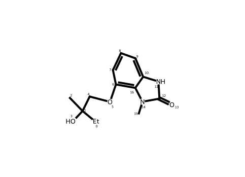 CCC(C)(O)COc1cccc2[nH]c(=O)n(C)c12